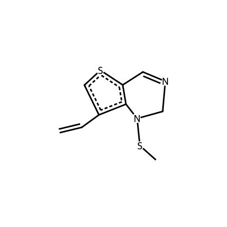 C=Cc1csc2c1N(SC)CN=C2